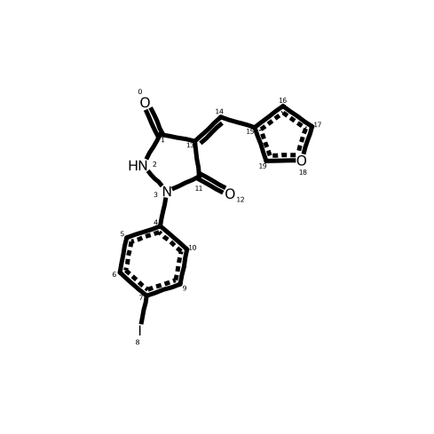 O=C1NN(c2ccc(I)cc2)C(=O)C1=Cc1ccoc1